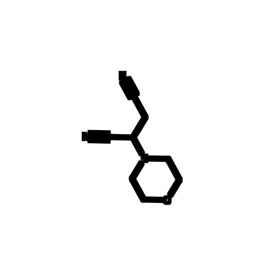 N#CCC(C#N)N1CCOCC1